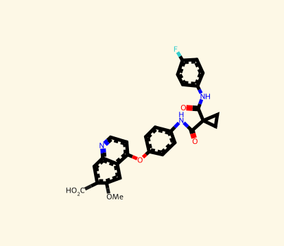 COc1cc2c(Oc3ccc(NC(=O)C4(C(=O)Nc5ccc(F)cc5)CC4)cc3)ccnc2cc1C(=O)O